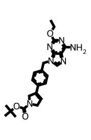 CCOc1nc(N)c2ncn(Cc3ccc(C4=CCN(C(=O)OC(C)(C)C)C4)cc3)c2n1